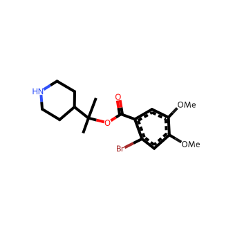 COc1cc(Br)c(C(=O)OC(C)(C)C2CCNCC2)cc1OC